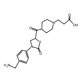 NCc1ccc(N2CC(C(=O)N3CCN(CCC(=O)O)CC3)OC2=O)cc1